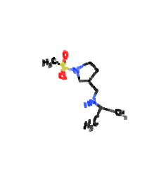 CC(C)NCC1CCN(S(C)(=O)=O)C1